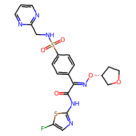 O=C(Nc1ncc(F)s1)/C(=N/O[C@@H]1CCOC1)c1ccc(S(=O)(=O)NCc2ncccn2)cc1